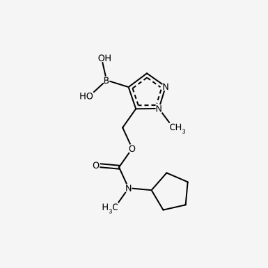 CN(C(=O)OCc1c(B(O)O)cnn1C)C1CCCC1